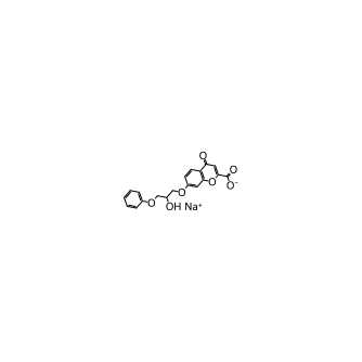 O=C([O-])c1cc(=O)c2ccc(OCC(O)COc3ccccc3)cc2o1.[Na+]